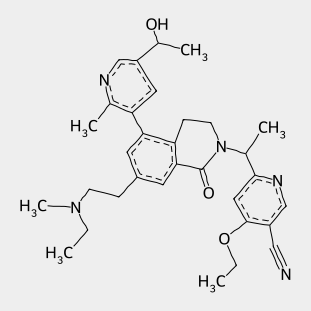 CCOc1cc(C(C)N2CCc3c(cc(CCN(C)CC)cc3-c3cc(C(C)O)cnc3C)C2=O)ncc1C#N